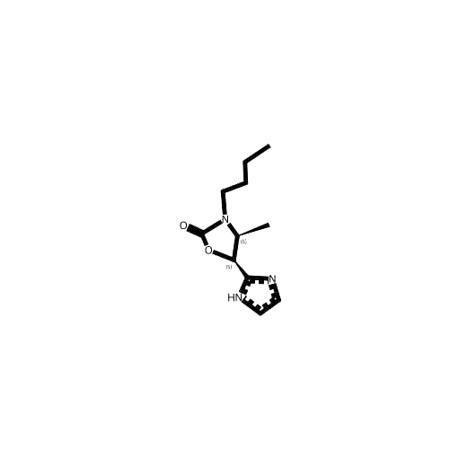 CCCCN1C(=O)O[C@H](c2ncc[nH]2)[C@@H]1C